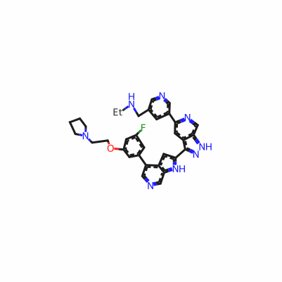 CCNCc1cncc(-c2cc3c(-c4cc5c(-c6cc(F)cc(OCCN7CCCC7)c6)cncc5[nH]4)n[nH]c3cn2)c1